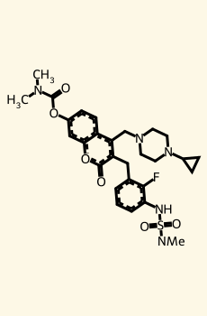 CNS(=O)(=O)Nc1cccc(Cc2c(CN3CCN(C4CC4)CC3)c3ccc(OC(=O)N(C)C)cc3oc2=O)c1F